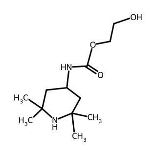 CC1(C)CC(NC(=O)OCCO)CC(C)(C)N1